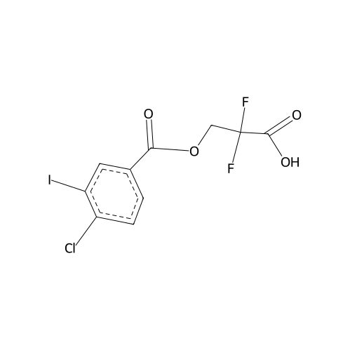 O=C(OCC(F)(F)C(=O)O)c1ccc(Cl)c(I)c1